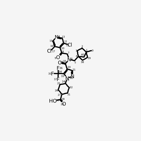 CC12CCC(CN(CC(=O)c3c(Cl)cncc3Cl)C(=O)c3cnn(C4CCC(C(=O)O)CC4)c3C(F)(F)F)(CC1)C2